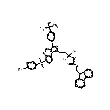 Cc1ccc(S(=O)(=O)n2ccc3c2ncc2c(-c4ccc(C(C)(C)O)cc4)nc(CCC(C)(C)NC(=O)OCC4c5ccccc5-c5ccccc54)n23)cc1